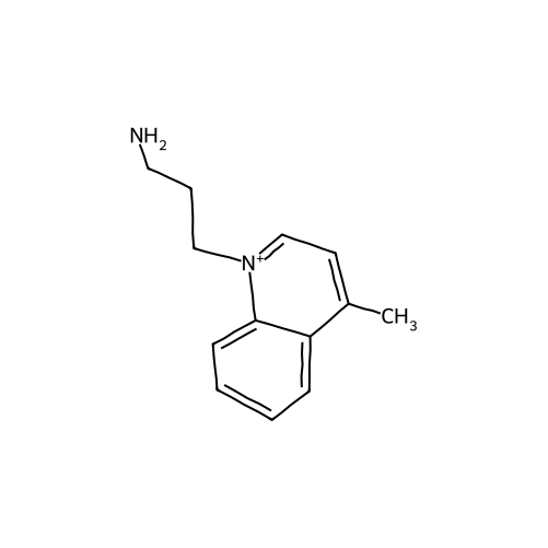 Cc1cc[n+](CCCN)c2ccccc12